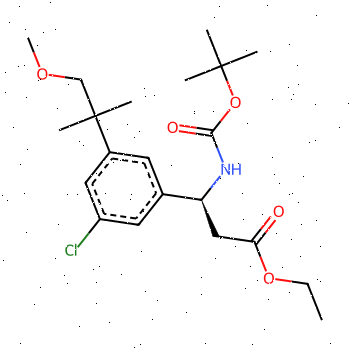 CCOC(=O)C[C@H](NC(=O)OC(C)(C)C)c1cc(Cl)cc(C(C)(C)COC)c1